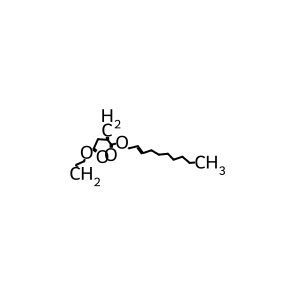 C=CCOC(=O)CC(=C)C(=O)OCC=CCCCCCCC